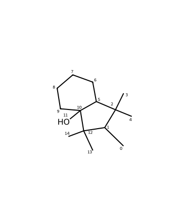 CC1C(C)(C)C2CCCCC2(O)C1(C)C